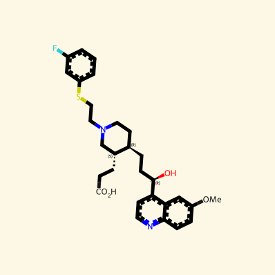 COc1ccc2nccc([C@H](O)CC[C@@H]3CCN(CCSc4cccc(F)c4)C[C@H]3CCC(=O)O)c2c1